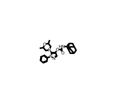 CC1CN(c2c(OC(=O)NC3C4CC5CC(C4)CC3C5)cnn2-c2ccccc2)CC(C)O1